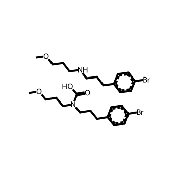 COCCCN(CCCc1ccc(Br)cc1)C(=O)O.COCCCNCCCc1ccc(Br)cc1